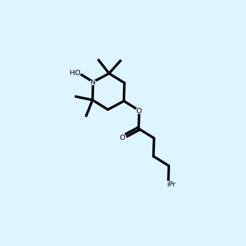 CC(C)CCCC(=O)OC1CC(C)(C)N(O)C(C)(C)C1